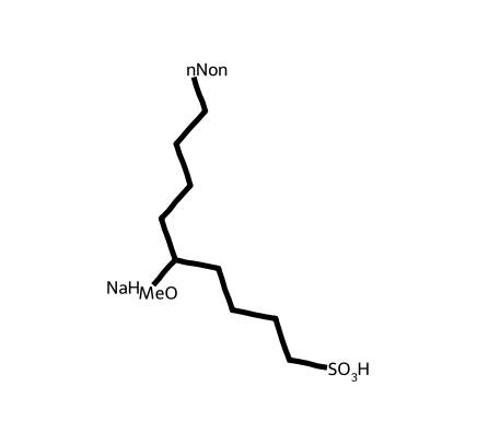 CCCCCCCCCCCCCC(CCCCS(=O)(=O)O)OC.[NaH]